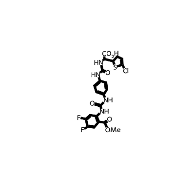 COC(=O)c1cc(F)c(F)cc1NC(=O)Nc1ccc(NC(=O)NC(C(=O)O)C2CC=C(Cl)S2)cc1